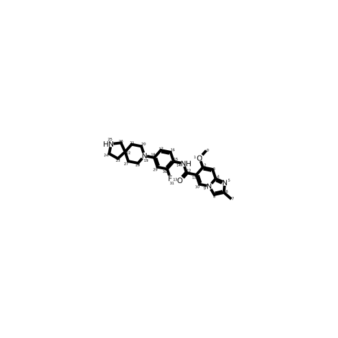 COc1cc2nc(C)cn2cc1C(=O)Nc1ccc(N2CCC3(CCNC3)CC2)cc1F